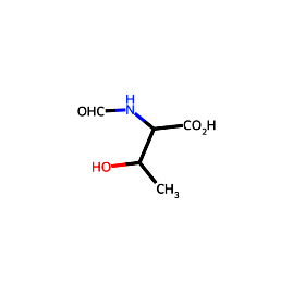 CC(O)C(NC=O)C(=O)O